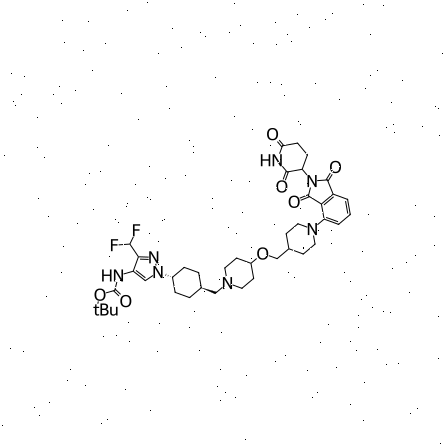 CC(C)(C)OC(=O)Nc1cn([C@H]2CC[C@H](CN3CCC(OCC4CCN(c5cccc6c5C(=O)N(C5CCC(=O)NC5=O)C6=O)CC4)CC3)CC2)nc1C(F)F